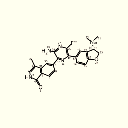 Cc1c[nH]c(=O)c2ccc(-c3nc(-c4ccc5c(c4)[C@H](N(C)C)CO5)c(F)nc3N)cc12